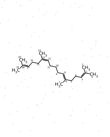 CC(C)=CCCC(C)=CC[CH]CC=C(C)CCC=C(C)C